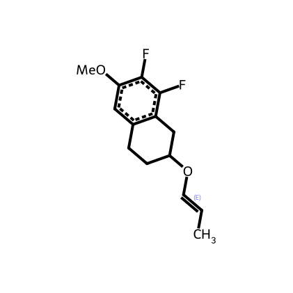 C/C=C/OC1CCc2cc(OC)c(F)c(F)c2C1